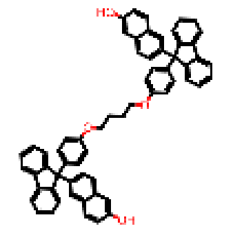 Oc1ccc2cc(C3(c4ccc(OCCCCOc5ccc(C6(c7ccc8cc(O)ccc8c7)c7ccccc7-c7ccccc76)cc5)cc4)c4ccccc4-c4ccccc43)ccc2c1